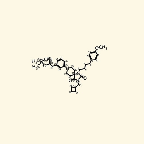 COc1ccc(CCCCN2C(=O)N(CC3CCC3)C(=O)C23CCN(c2cccc(CC(=O)OC(C)(C)C)c2)CC3)cc1